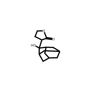 O=C1OCCC1C1(O)C2CC3CC(C2)CC1C3